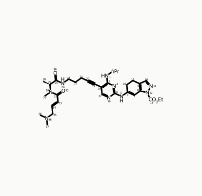 CCCNc1nc(NC2=Cc3c(cnn3C(=O)OCC)CC2)ncc1C#CCCCNC(=O)[C@H](C)N(C)C(=O)/C=C/CN(C)C